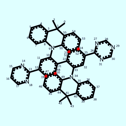 CC1(C)c2ccccc2N(c2cc(-c3ncccn3)ccc2-c2ccc(-c3ncncn3)cc2N2c3ccccc3C(C)(C)c3ccccc32)c2ccccc21